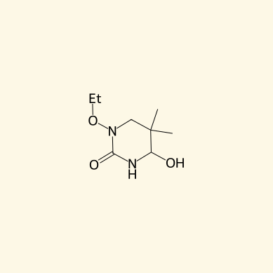 CCON1CC(C)(C)C(O)NC1=O